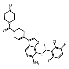 CCN1CCN(C(=O)N2CC=C(c3coc4c(O[C@H](C)c5c(F)ccc(F)c5Cl)c(N)ncc34)CC2)CC1